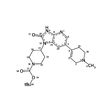 CN1CC=C(c2cnc3[nH]c(=O)n(C4CCN(C(=O)OC(C)(C)C)CC4)c3c2)CC1